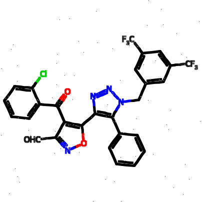 O=Cc1noc(-c2nnn(Cc3cc(C(F)(F)F)cc(C(F)(F)F)c3)c2-c2ccccc2)c1C(=O)c1ccccc1Cl